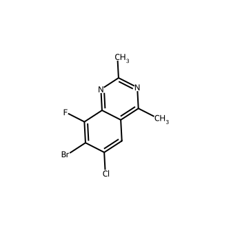 Cc1nc(C)c2cc(Cl)c(Br)c(F)c2n1